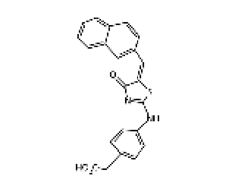 O=C(O)Cc1ccc(NC2=NC(=O)C(=Cc3ccc4ccccc4c3)S2)cc1